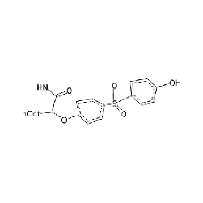 CCCCCCCCC(Oc1ccc(S(=O)(=O)c2ccc(O)cc2)cc1)C([NH])=O